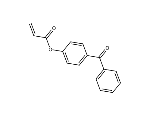 C=CC(=O)Oc1ccc(C(=O)c2ccccc2)cc1